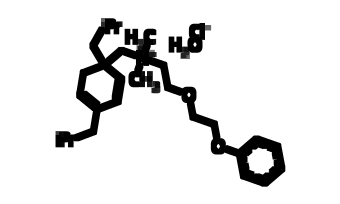 CC(C)CC1=CCC(CC(C)C)(C[N+](C)(C)CCOCCOc2ccccc2)C=C1.O.[Cl-]